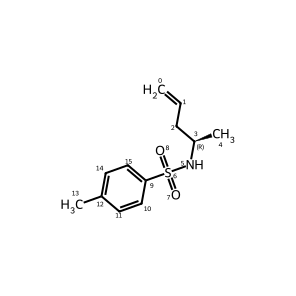 C=CC[C@@H](C)NS(=O)(=O)c1ccc(C)cc1